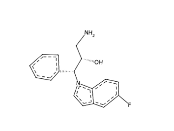 NC[C@H](O)[C@@H](c1ccccc1)n1ccc2cc(F)ccc21